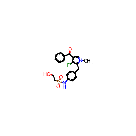 Cn1cc(C(=O)c2ccccc2)c(F)c1Cc1ccc(NS(=O)(=O)CCO)cc1